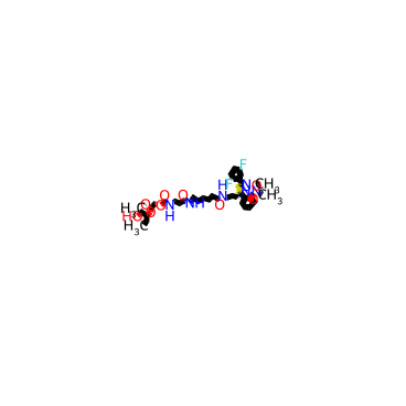 CCC(CO)OC(COC(=O)NCCC(=O)NCCCCCC(=O)NCCC[C@@]1(c2ccccc2)SC(c2cc(F)ccc2F)=NN1C(=O)N(C)OC)OC